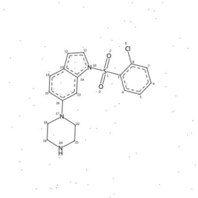 O=S(=O)(c1ccccc1Cl)n1ccc2ccc(N3CCNCC3)cc21